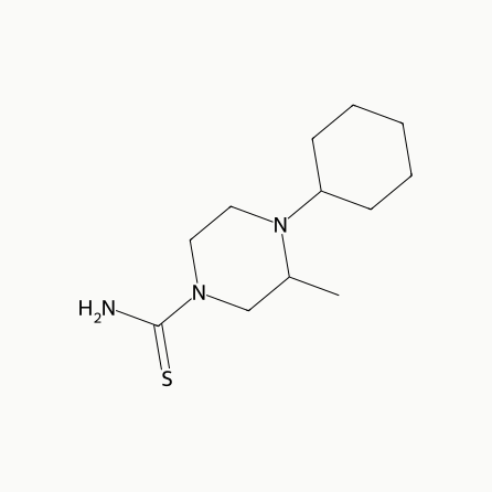 CC1CN(C(N)=S)CCN1C1CCCCC1